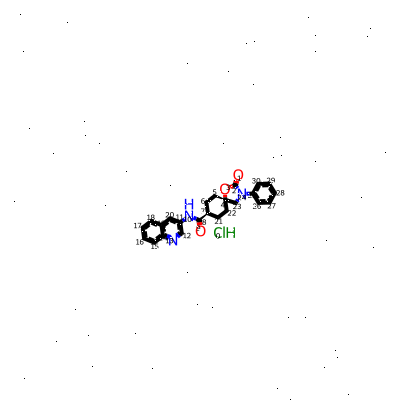 Cl.O=C1O[C@]2(CC[C@H](C(=O)Nc3cnc4ccccc4c3)CC2)CN1c1ccccc1